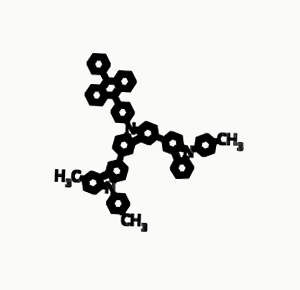 Cc1ccc(-n2c3ccccc3c3cc(-c4ccc5c(c4)c4cc(-c6ccc7c(c6)c6cc(C)ccc6n7-c6ccc(C)cc6)ccc4n5-c4ccc(-c5c6ccccc6c(-c6ccccc6)c6ccccc56)cc4)ccc32)cc1